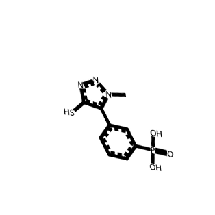 Cn1nnc(S)c1-c1cccc(P(=O)(O)O)c1